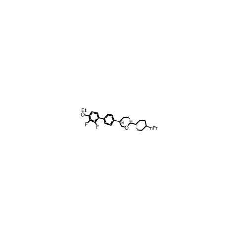 CCC[C@H]1CC[C@H]([C@H]2CC[C@H](c3ccc(-c4ccc(OCC)c(F)c4F)cc3)CO2)CC1